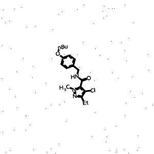 CCCCOc1ccc(CNC(=O)c2c(Cl)c(CC)nn2C)cc1